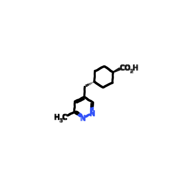 Cc1cc(C[C@H]2CC[C@H](C(=O)O)CC2)cnn1